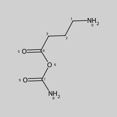 NCCCC(=O)OC(N)=O